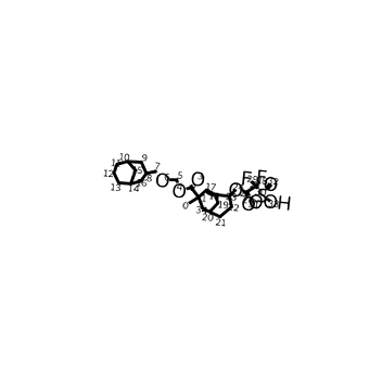 CC1(C(=O)OCOCC2CC3CCCC(C3)C2)C=C2CC(CCC2OC(=O)C(F)(F)S(=O)(=O)O)C1